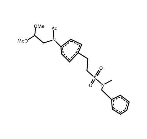 COC(CN(C(C)=O)c1ccc(CCS(=O)(=O)N(C)Cc2ccccc2)cc1)OC